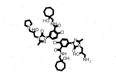 Cc1nn(-c2ccc(Cl)c(C(=O)NCC3(O)CCCCCC3)c2)c(=O)n1CC(O)CN.Cc1nn(-c2ccc(Cl)c(C(=O)NCC3(O)CCCCCC3)c2)c(=O)n1CC(O)CN1CCCC1